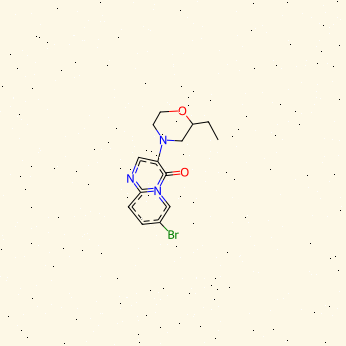 CCC1CN(c2cnc3ccc(Br)cn3c2=O)CCO1